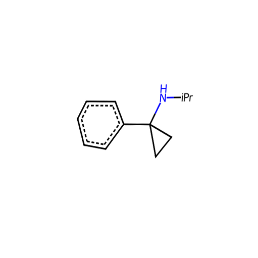 CC(C)NC1(c2ccccc2)CC1